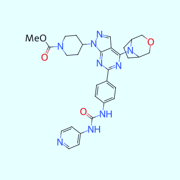 COC(=O)N1CCC(n2ncc3c(N4C5CCC4COC5)nc(-c4ccc(NC(=O)Nc5ccncc5)cc4)nc32)CC1